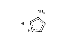 I.N.c1c[nH]cn1